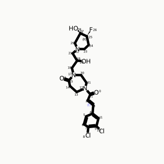 O=C(/C=C/c1ccc(Cl)c(Cl)c1)N1CCC(=O)N(CC(O)CN2CC[C@@H](F)[C@@H](O)C2)CC1